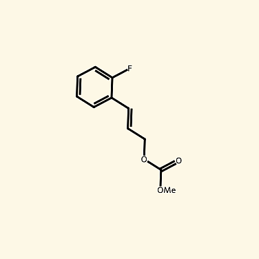 COC(=O)OCC=Cc1ccccc1F